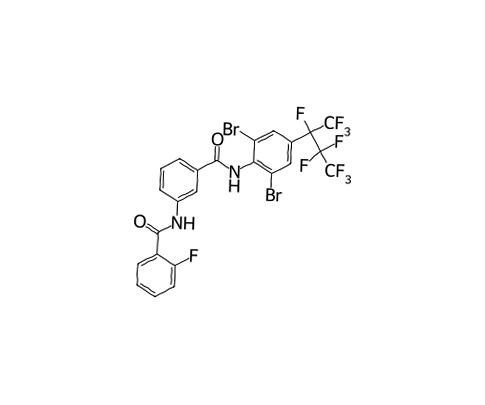 O=C(Nc1c(Br)cc(C(F)(C(F)(F)F)C(F)(F)C(F)(F)F)cc1Br)c1cccc(NC(=O)c2ccccc2F)c1